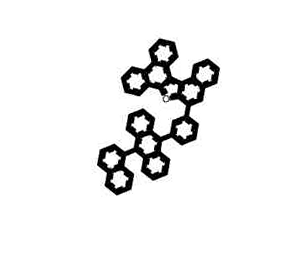 c1cc(-c2c3ccccc3c(-c3cccc4ccccc34)c3ccccc23)cc(-c2cc3ccccc3c3c2oc2c4ccccc4c4ccccc4c23)c1